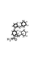 NC(=O)c1ccc(-n2cccc2Cc2cccnc2)cc1NC1CCCCC1